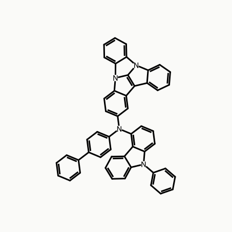 c1ccc(-c2ccc(N(c3ccc4c(c3)c3c5ccccc5n5c6ccccc6n4c35)c3cccc4c3c3ccccc3n4-c3ccccc3)cc2)cc1